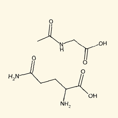 CC(=O)NCC(=O)O.NC(=O)CCC(N)C(=O)O